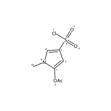 CC(=O)Oc1cc(S(=O)(=O)Cl)cn1C